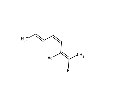 CC=C/C=C\C(C(C)=O)=C(/C)F